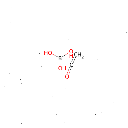 C=C=O.OB(O)O